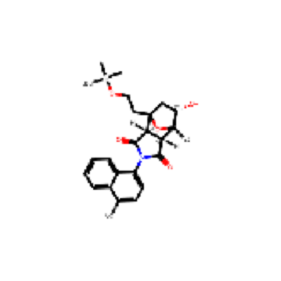 CCC12OC(CCO[Si](C)(C)C(C)(C)C)(C[C@@H]1O)[C@H]1C(=O)N(c3ccc(C#N)c4ccccc34)C(=O)[C@H]12